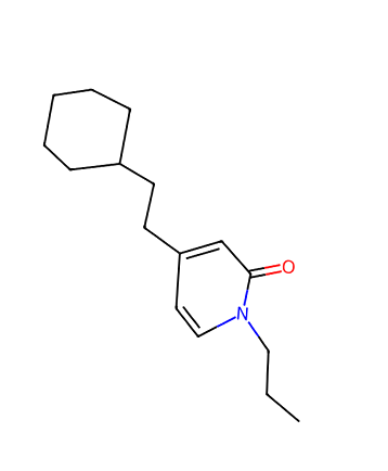 CCCn1ccc(CCC2CCCCC2)cc1=O